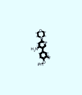 CC(C)Oc1ccc(-c2cnc(N3CCOCC3)cc2N)cc1F